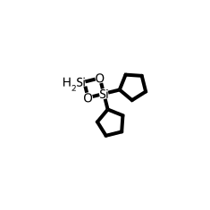 C1CCC([Si]2(C3CCCC3)O[SiH2]O2)C1